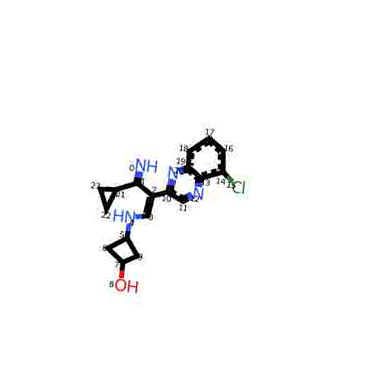 N=C(/C(=C\NC1CC(O)C1)c1cnc2c(Cl)cccc2n1)C1CC1